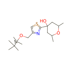 CC1CC(O)(c2nc(CO[Si](C)(C)C(C)(C)C)cs2)CC(C)O1